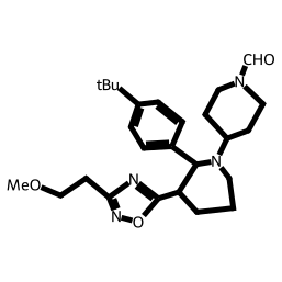 COCCc1noc(C2CCCN(C3CCN(C=O)CC3)C2c2ccc(C(C)(C)C)cc2)n1